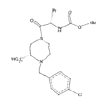 CC(C)[C@H](NC(=O)OC(C)(C)C)C(=O)N1CCN(Cc2ccc(Cl)cc2)[C@H](C(=O)O)C1